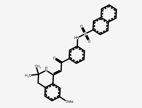 COc1ccc2c(c1)C(=CC(=O)c1cccc(NS(=O)(=O)c3ccc4ccccc4c3)c1)NC(C)(C)C2